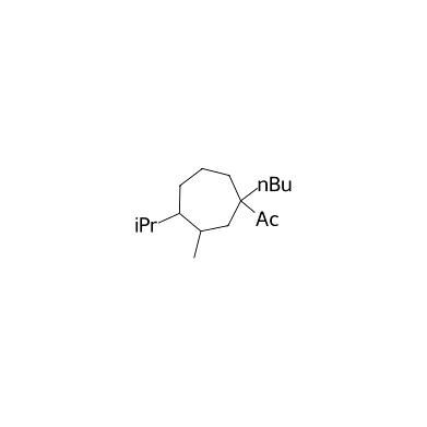 CCCCC1(C(C)=O)CCCC(C(C)C)C(C)C1